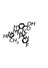 Cc1cc(Nc2nc(C(F)(F)c3ccc(F)cn3)nc3c(C(=O)O)cccc23)n[nH]1